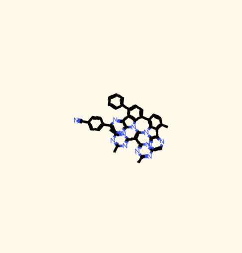 Cc1nc(C)nc(C(c2nc(C)nc(C)n2)=c2n3c4nccnc4c4c(C)ccc(c5ccc(-c6ccccc6)c6c7nc(-c8ccc(C#N)cc8)cnc7n2c56)c43)n1